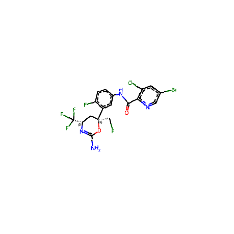 NC1=N[C@H](C(F)(F)F)C[C@@](CF)(c2cc(NC(=O)c3ncc(Br)cc3Cl)ccc2F)O1